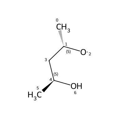 C[C@H]([O])C[C@H](C)O